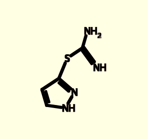 N=C(N)Sc1cc[nH]n1